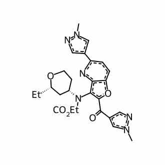 CCOC(=O)N(c1c(C(=O)c2cnn(C)c2)oc2ccc(-c3cnn(C)c3)nc12)[C@H]1CCO[C@@H](CC)C1